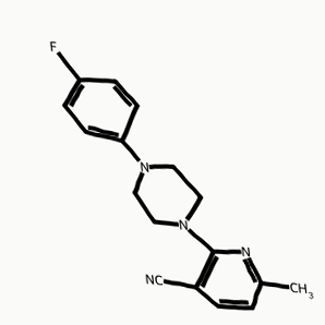 Cc1ccc(C#N)c(N2CCN(c3ccc(F)cc3)CC2)n1